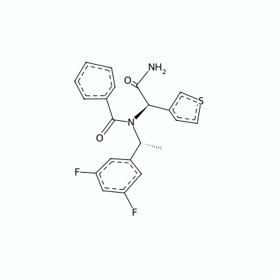 C[C@H](c1cc(F)cc(F)c1)N(C(=O)c1ccccc1)[C@@H](C(N)=O)c1ccsc1